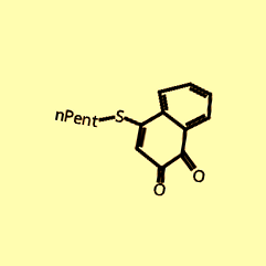 CCCCCSC1=CC(=O)C(=O)c2ccccc21